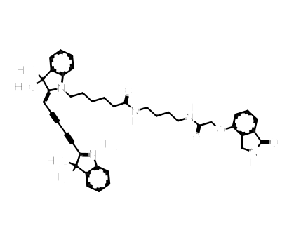 C[N+]1=C(C#CC#C/C=C2\N(CCCCCC(=O)NCCCCNC(=O)COc3cccc4c3CNC4=O)c3ccccc3C2(C)C)C(C)(C)c2ccccc21